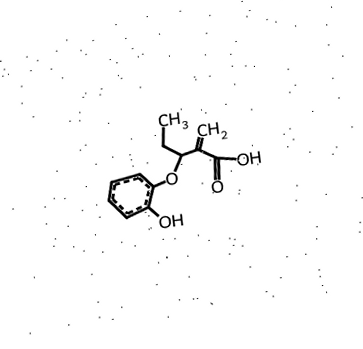 C=C(C(=O)O)C(CC)Oc1ccccc1O